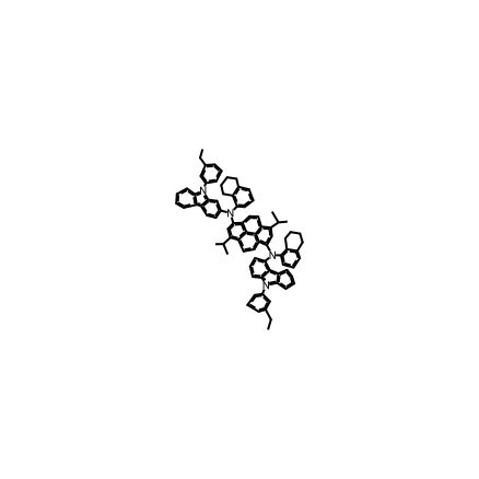 CCc1cccc(-n2c3ccccc3c3ccc(N(c4cccc5c4CCCC5)c4cc(C(C)C)c5ccc6c(N(c7cccc8c7CCCC8)c7cccc8c7c7ccccc7n8-c7cccc(CC)c7)cc(C(C)C)c7ccc4c5c76)cc32)c1